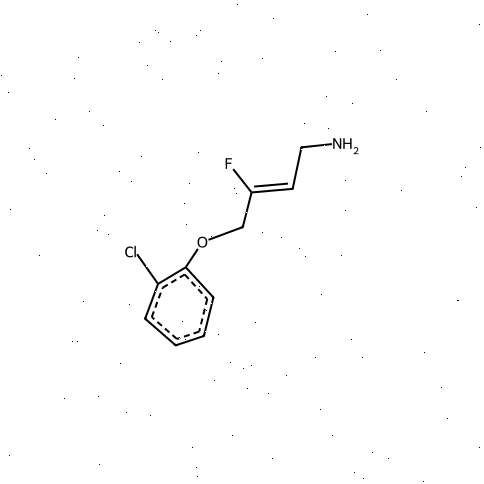 NCC=C(F)COc1ccccc1Cl